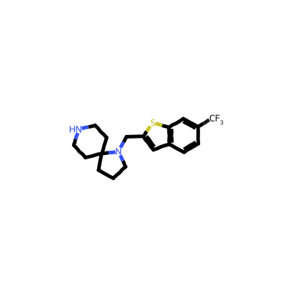 FC(F)(F)c1ccc2cc(CN3CCCC34CCNCC4)sc2c1